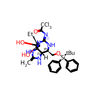 C=C1N[C@H]2[C@H](CO[Si](c3ccccc3)(c3ccccc3)C(C)(C)C)N/C(=N/C(=O)C(Cl)(Cl)Cl)N3[C@H](CC)C(O)[C@H](O)C23N1